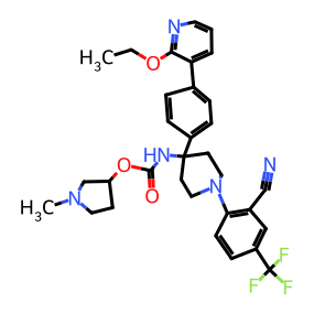 CCOc1ncccc1-c1ccc(C2(NC(=O)OC3CCN(C)C3)CCN(c3ccc(C(F)(F)F)cc3C#N)CC2)cc1